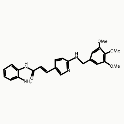 COc1cc(CNc2ccc(/C=C/C(=O)Nc3ccccc3N)cn2)cc(OC)c1OC